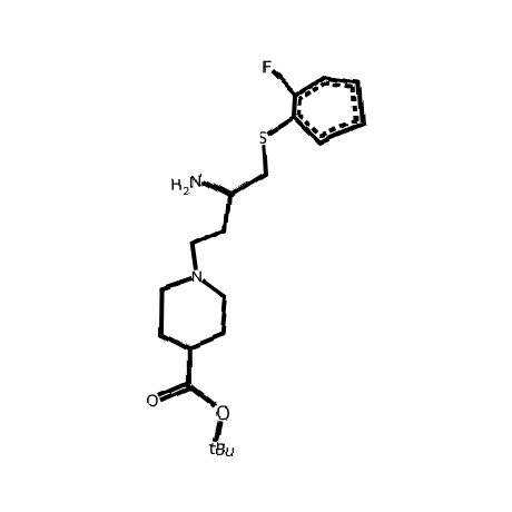 CC(C)(C)OC(=O)C1CCN(CCC(N)CSc2ccccc2F)CC1